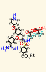 CCOC(=O)c1ccc(S(=O)(=O)N[C@H](COc2cccc(C(=N)N)c2)Cc2ccc(OC3CCNCC3)cc2)cc1.O=C(O)C(F)(F)F.O=C(O)C(F)(F)F